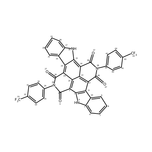 O=C1c2c3[nH]c4ccccc4c3c3c4c(c5[nH]c6ccccc6c5c(c24)C(=O)N1c1ccc(C(F)(F)F)cc1)C(=O)N(c1ccc(C(F)(F)F)cc1)C3=O